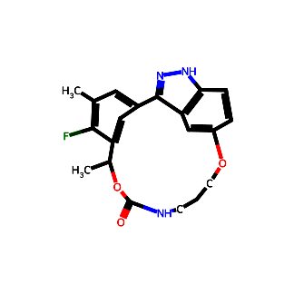 Cc1cc2cc(c1F)C(C)OC(=O)NCCCOc1ccc3[nH]nc-2c3c1